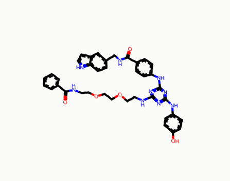 O=C(NCCOCCOCCNc1nc(Nc2ccc(O)cc2)nc(Nc2ccc(C(=O)NCc3ccc4[nH]ccc4c3)cc2)n1)c1ccccc1